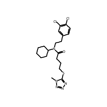 Cn1nnnc1SCCCC(=O)N(CCc1ccc(Cl)c(Cl)c1)C1CCCCC1